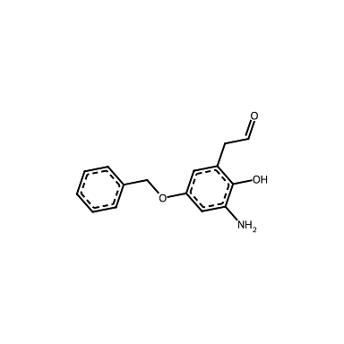 Nc1cc(OCc2ccccc2)cc(CC=O)c1O